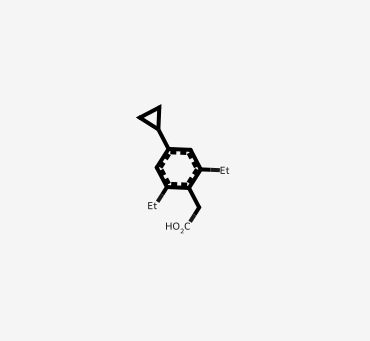 CCc1cc(C2CC2)cc(CC)c1CC(=O)O